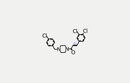 O=C(/C=C/c1ccc(Cl)c(Cl)c1)N1CCN(Cc2ccc(Cl)cc2)CC1